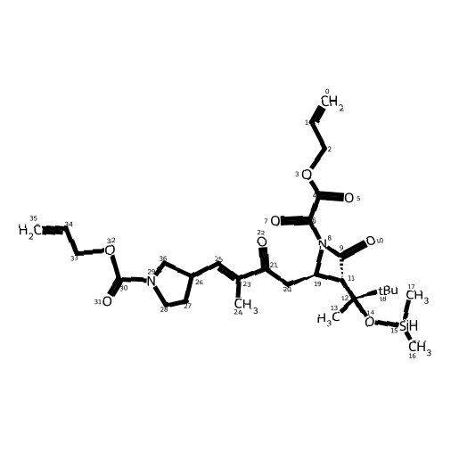 C=CCOC(=O)C(=O)N1C(=O)[C@H]([C@@](C)(O[SiH](C)C)C(C)(C)C)[C@H]1CC(=O)/C(C)=C/C1CCN(C(=O)OCC=C)C1